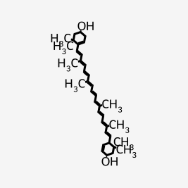 CC(/C=C/C=C(C)/C=C/C1=CC[C@H](O)CC1(C)C)=C\C=C\C=C(C)\C=C\C=C(C)\C=C\C1C=C[C@@H](O)CC1(C)C